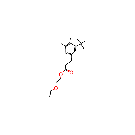 CCOCCOC(=O)CCc1cc(C)c(C)c(C(C)(C)C)c1